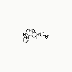 CN(C)C1CCN(c2ccc(-c3c(C=O)nc4ccccn34)cn2)C1